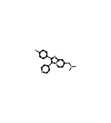 CN(C)Cc1ccn2c(-c3ccncc3)c(-c3ccc(F)cc3)nc2c1